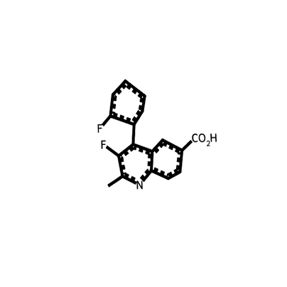 Cc1nc2ccc(C(=O)O)cc2c(-c2ccccc2F)c1F